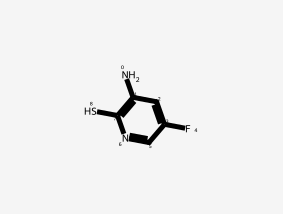 Nc1cc(F)cnc1S